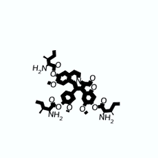 CC[C@H](C)[C@H](N)C(=O)Oc1ccc(-c2c3c4cc(OC)c(OC(=O)[C@@H](N)[C@@H](C)CC)cc4oc(=O)c3n3ccc4cc(OC(=O)[C@@H](N)[C@@H](C)CC)c(OC)cc4c23)cc1OC